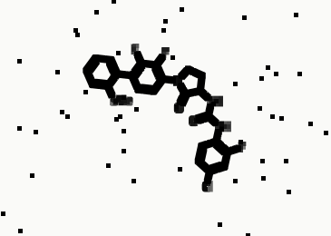 CSc1ccccc1-c1ccc(N2CCC(NC(=O)Nc3ccc(Cl)cc3F)C2=O)c(F)c1F